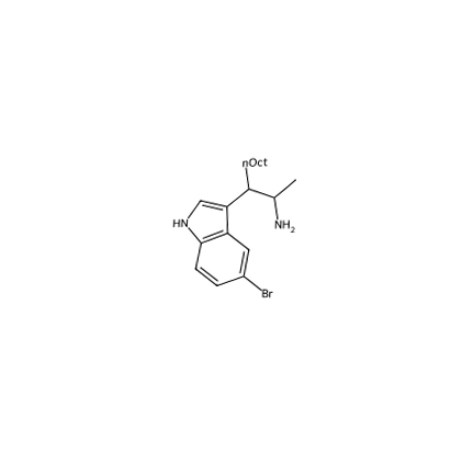 CCCCCCCCC(c1c[nH]c2ccc(Br)cc12)C(C)N